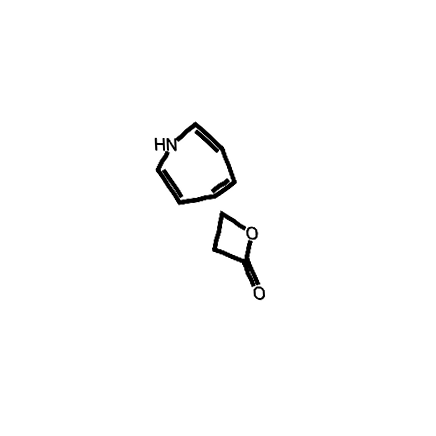 C1=CC=CNC=C1.O=C1CCO1